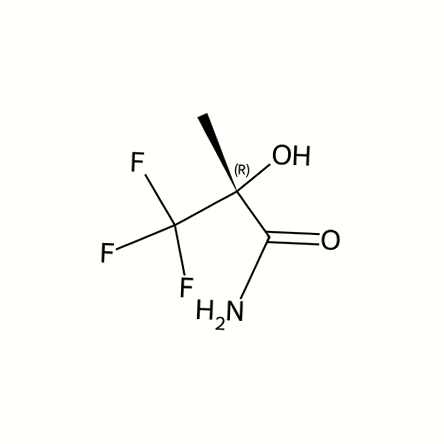 C[C@@](O)(C(N)=O)C(F)(F)F